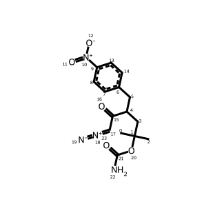 CC(C)(CC(Cc1ccc([N+](=O)[O-])cc1)C(=O)C=[N+]=[N-])OC(N)=O